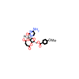 COc1ccc(C(=O)OC[C@H]2O[C@@H]([N+]3(C)C=CC(N)=NC3=O)[C@H]3OC(=O)/C=C\C(=O)OC23)cc1